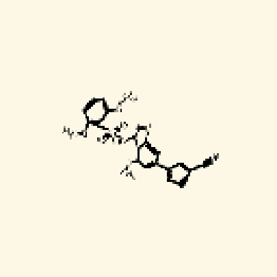 COc1cccc(OC)c1S(=O)(=O)Nc1noc2cc(-c3cccc(C#N)c3)cc(OC)c12